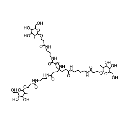 CC(C)NC(CCC(=O)NCCCCNC(=O)CCOC1OC(CO)C(O)C(O)C1C)(CCC(=O)NCCCNC(=O)CCOC1OC(CO)C(O)C(O)C1C)CCC(=O)NCCCNC(=O)CCOC1OC(CO)C(O)C(O)C1C